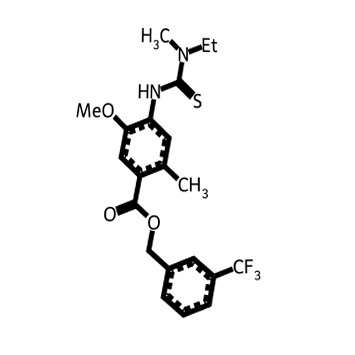 CCN(C)C(=S)Nc1cc(C)c(C(=O)OCc2cccc(C(F)(F)F)c2)cc1OC